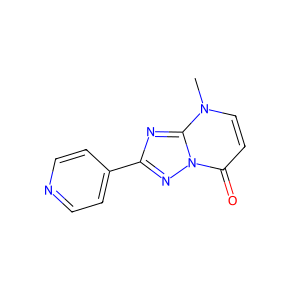 Cn1ccc(=O)n2nc(-c3ccncc3)nc12